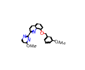 COc1cccc(COc2cccc3ccc(-c4nccc(OC)n4)nc23)c1